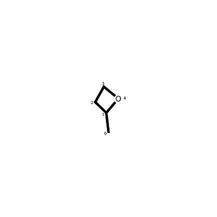 CC1C[CH]O1